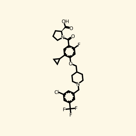 O=C(O)[C@@H]1CCCN1C(=O)c1cc(C2CC2)c(OCC2CCN(Cc3cc(Cl)cc(C(F)(F)F)c3)CC2)cc1F